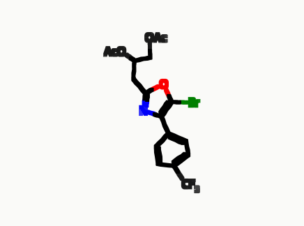 CC(=O)OCC(Cc1nc(-c2ccc(C(F)(F)F)cc2)c(Br)o1)OC(C)=O